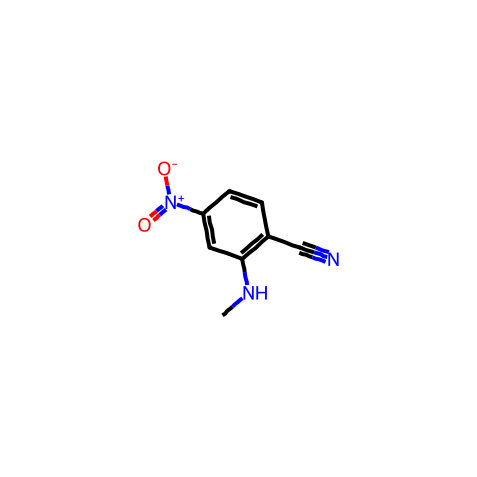 CNc1cc([N+](=O)[O-])ccc1C#N